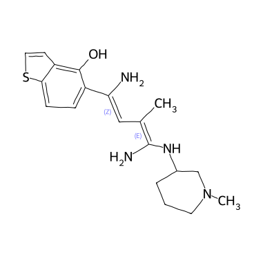 CC(/C=C(\N)c1ccc2sccc2c1O)=C(/N)NC1CCCN(C)C1